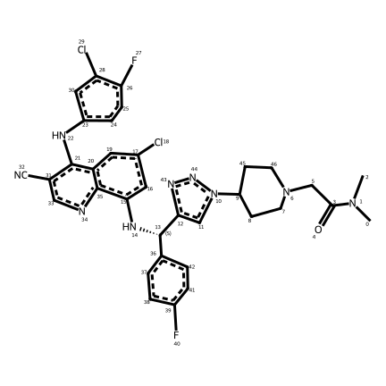 CN(C)C(=O)CN1CCC(n2cc([C@@H](Nc3cc(Cl)cc4c(Nc5ccc(F)c(Cl)c5)c(C#N)cnc34)c3ccc(F)cc3)nn2)CC1